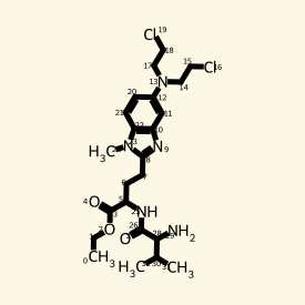 CCOC(=O)C(CCc1nc2cc(N(CCCl)CCCl)ccc2n1C)NC(=O)C(N)C(C)C